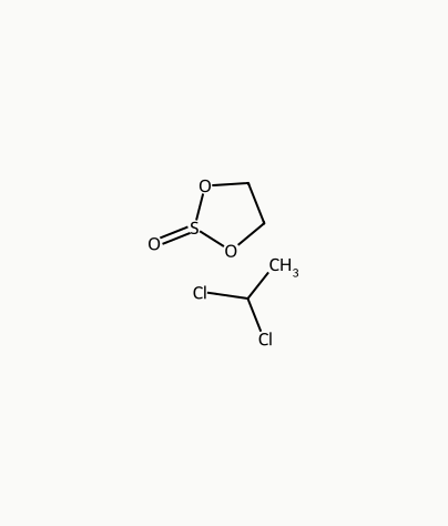 CC(Cl)Cl.O=S1OCCO1